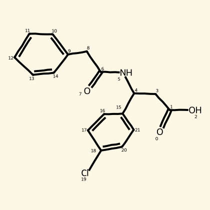 O=C(O)CC(NC(=O)Cc1ccccc1)c1ccc(Cl)cc1